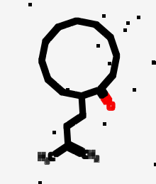 C=C(C)CCC1CCCCCCCCCCC1=O